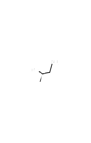 C[C@@H](O)[CH]N